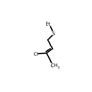 [CH2]CSC/C=C(/C)Cl